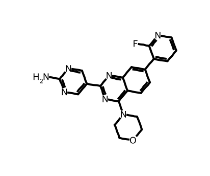 Nc1ncc(-c2nc(N3CCOCC3)c3ccc(-c4cccnc4F)cc3n2)cn1